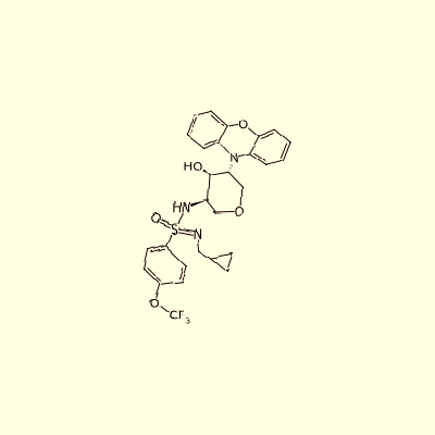 O=S(=NCC1CC1)(N[C@@H]1COC[C@@H](N2c3ccccc3Oc3ccccc32)[C@@H]1O)c1ccc(OC(F)(F)F)cc1